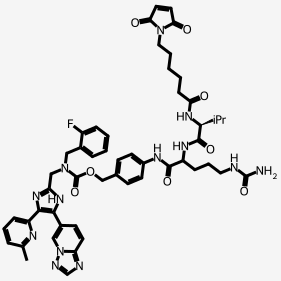 Cc1cccc(-c2nc(CN(Cc3ccccc3F)C(=O)OCc3ccc(NC(=O)C(CCCNC(N)=O)NC(=O)[C@@H](NC(=O)CCCCCN4C(=O)C=CC4=O)C(C)C)cc3)[nH]c2-c2ccc3ncnn3c2)n1